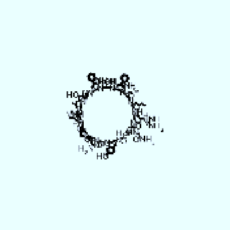 CCCC[C@H]1C(=O)N[C@@H](CCCNC(=N)N)C(=O)NC(C(=O)NCC(N)=O)CSCC(=O)N[C@@H](Cc2ccc(O)cc2)C(=O)N(C)[C@@H](C)C(=O)N[C@@H](CC(N)=O)C(=O)N2CCC[C@H]2C(=O)N[C@@H](Cc2cnc[nH]2)C(=O)N[C@@H](CC(C)C)C(=O)N2C[C@H](O)C[C@H]2C(=O)N[C@@H](Cc2c[nH]c3ccccc23)C(=O)N[C@@H](CO)C(=O)N[C@@H](Cc2c[nH]c3ccccc23)C(=O)N(C)[C@@H](CCSC)C(=O)N1C